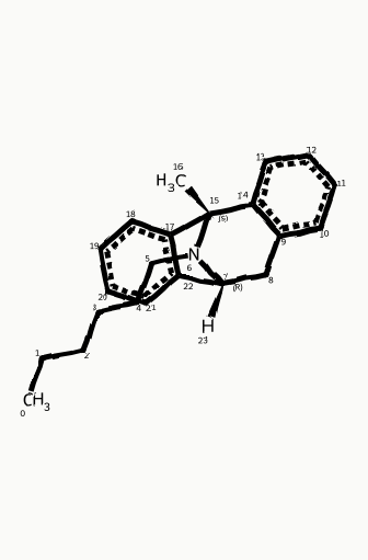 CCCCCCN1[C@@H]2Cc3ccccc3[C@@]1(C)c1ccccc12